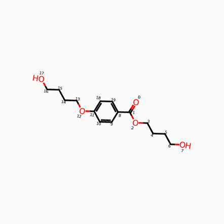 O=C(OCCCCO)c1ccc(OCCCCO)cc1